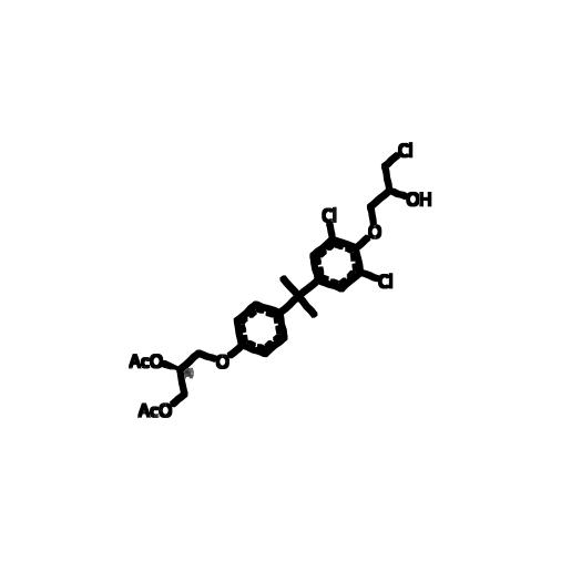 CC(=O)OC[C@H](COc1ccc(C(C)(C)c2cc(Cl)c(OCC(O)CCl)c(Cl)c2)cc1)OC(C)=O